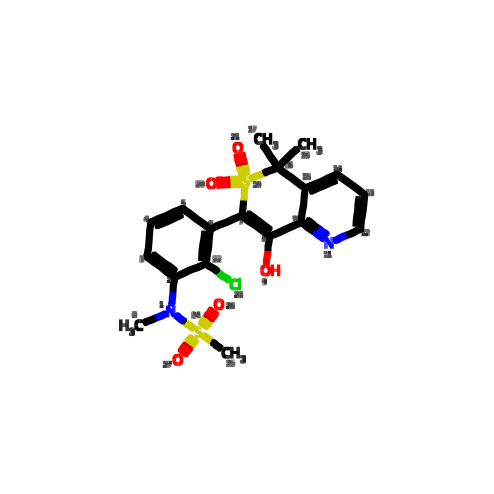 CN(c1cccc(C2=C(O)c3ncccc3C(C)(C)S2(=O)=O)c1Cl)S(C)(=O)=O